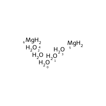 O.O.O.O.O.[MgH2].[MgH2]